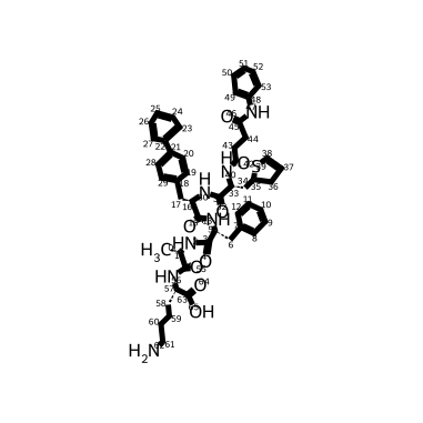 C[C@H](NC(=O)[C@@H](Cc1ccccc1)NC(=O)[C@H](Cc1ccc(-c2ccccc2)cc1)NC(=O)[C@@H](CC1CC=CS1)NC(=O)CCC(=O)Nc1ccccc1)C(=O)N[C@@H](CCCCN)C(=O)O